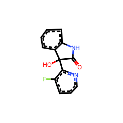 O=C1Nc2ccccc2C1(O)c1ncccc1F